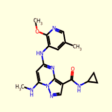 CNc1cc(Nc2cc(C)cnc2OC)nc2c(C(=O)NC3CC3)cnn12